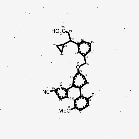 COc1ccc(F)c(-c2ccc(OCc3cccc(C(CC(=O)O)C4CC4)c3)cc2-c2ccc(C#N)s2)c1